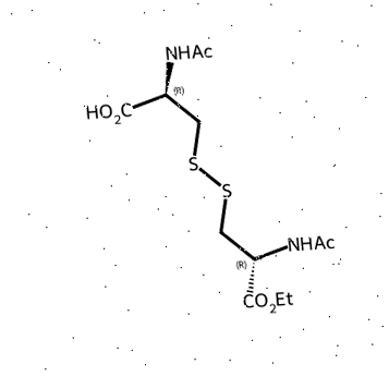 CCOC(=O)[C@H](CSSC[C@H](NC(C)=O)C(=O)O)NC(C)=O